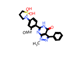 COc1cc(N2CCCS2(O)O)ccc1-c1nc2c(c(-c3ccccc3)nn2C)c(=O)[nH]1